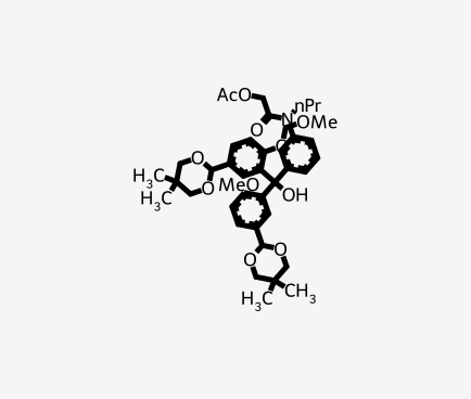 CCCN(C(=O)COC(C)=O)c1cccc(C(O)(c2cc(C3OCC(C)(C)CO3)ccc2OC)c2cc(C3OCC(C)(C)CO3)ccc2OCOC)c1